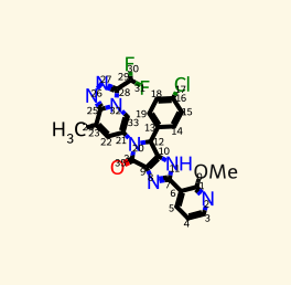 COc1ncccc1-c1nc2c([nH]1)C(c1ccc(Cl)cc1)N(c1cc(C)c3nnc(C(F)F)n3c1)C2=O